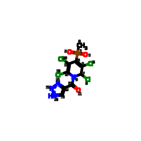 CS(=O)(=O)C1=C(Cl)C(Cl)N(C(=O)c2c[nH]nn2)C(Cl)=C1Cl